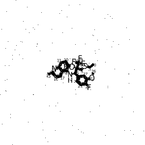 CCSC[C@@](O)([C@H](Nc1cccc2nc(C)ccc12)c1ccc(F)c(OC)c1)C(F)(F)F